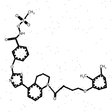 Cc1cccc(OCCCC(=O)N2CCCc3c(-c4cnc(Oc5cccc(C(=O)NOS(C)(=O)=O)c5)s4)cccc32)c1C